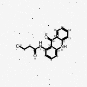 O=C(CCCl)Nc1cccc2[nH]c3ccccc3c(=O)c12